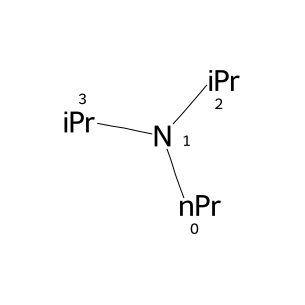 [CH2]CCN(C(C)C)C(C)C